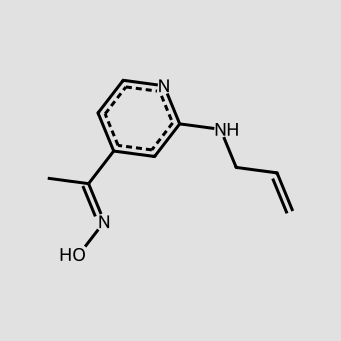 C=CCNc1cc(C(C)=NO)ccn1